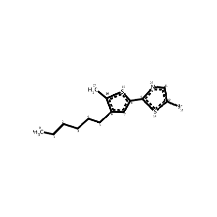 CCCCCCc1cc(-c2ncc(Br)s2)sc1C